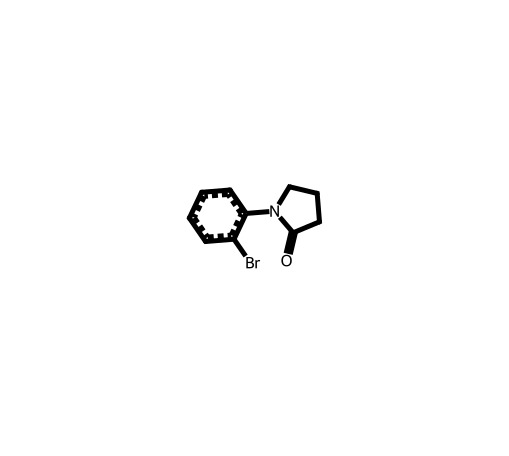 O=C1CCCN1c1ccccc1Br